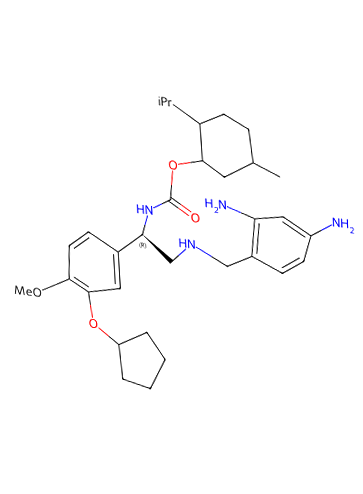 COc1ccc([C@H](CNCc2ccc(N)cc2N)NC(=O)OC2CC(C)CCC2C(C)C)cc1OC1CCCC1